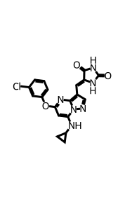 O=C1NC(=O)C(=Cc2cnn3c(NC4CC4)cc(Oc4cccc(Cl)c4)nc23)N1